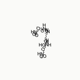 COC(=O)NCc1cccc(CC(=O)Nc2nnc(CCCCc3ccc(NC(O)Cc4cccc(CNC(=O)OC)c4)nn3)s2)c1